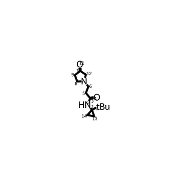 CC(C)(C)C1(NC(=O)CCN2CCC(=O)C2)CC1